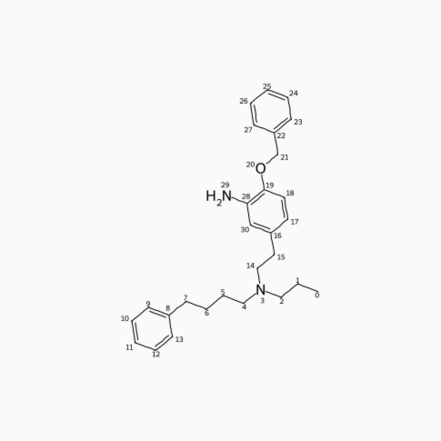 CCCN(CCCCc1ccccc1)CCc1ccc(OCc2ccccc2)c(N)c1